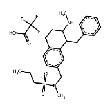 CCCS(=O)(=O)N(C)Cc1ccc2c(c1)C(Cc1ccccc1)C(NC)CC2.O=C(O)C(F)(F)F